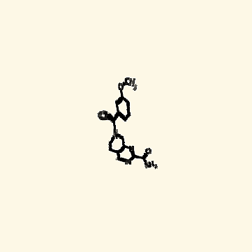 COc1cccc(C(=O)N2CCc3[c]nc(C(N)=O)nc3C2)c1